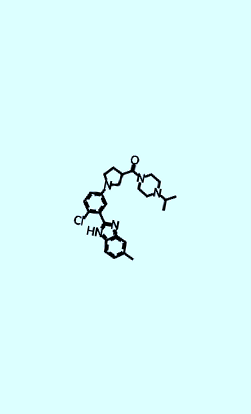 Cc1ccc2[nH]c(-c3cc(N4CCC(C(=O)N5CCN(C(C)C)CC5)C4)ccc3Cl)nc2c1